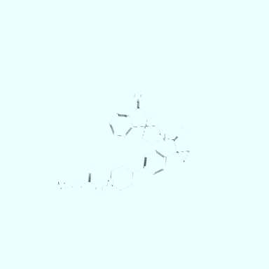 COC(=O)ON1CCC(c2ccc(C3(C(=O)N4CCC5(C4)OC(=O)c4ccccc45)CC3)cc2)CC1